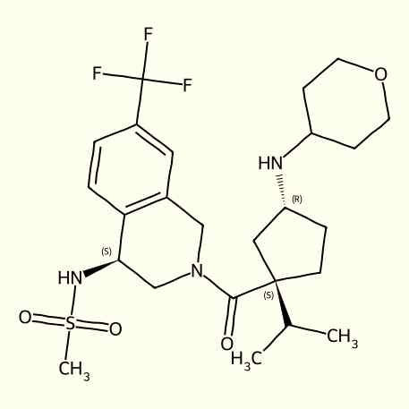 CC(C)[C@]1(C(=O)N2Cc3cc(C(F)(F)F)ccc3[C@H](NS(C)(=O)=O)C2)CC[C@@H](NC2CCOCC2)C1